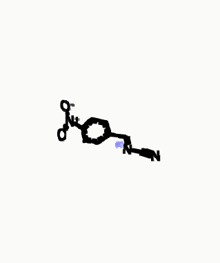 N#C/N=C/c1ccc([N+](=O)[O-])cc1